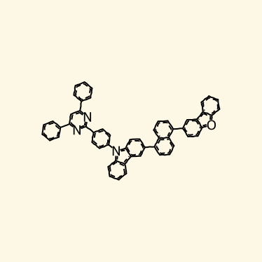 c1ccc(-c2cc(-c3ccccc3)nc(-c3ccc(-n4c5ccccc5c5cc(-c6cccc7c(-c8ccc9oc%10ccccc%10c9c8)cccc67)ccc54)cc3)n2)cc1